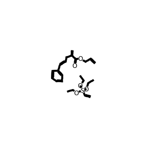 C=CCOC(=O)C(=C)CC=Cc1ccccc1.C=C[Si](OCC)(OCC)OCC